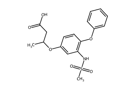 CC(CC(=O)O)Oc1ccc(Oc2ccccc2)c(NS(C)(=O)=O)c1